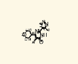 Cc1nnsc1-c1nc(C2CCOCC2)c(I)c(=O)[nH]1